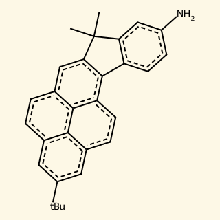 CC(C)(C)c1cc2ccc3cc4c(c5ccc(c1)c2c35)-c1ccc(N)cc1C4(C)C